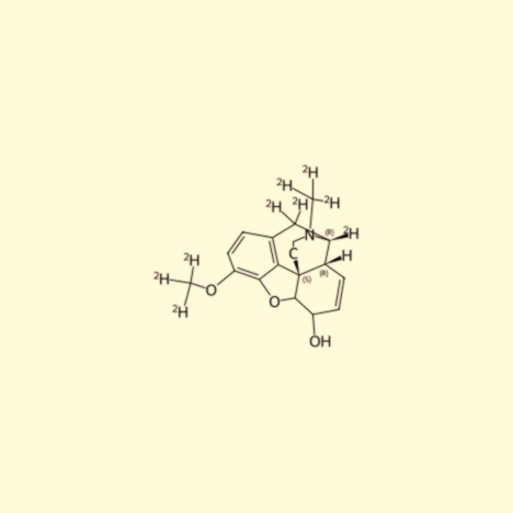 [2H]C([2H])([2H])Oc1ccc2c3c1OC1C(O)C=C[C@@H]4[C@@]31CCN(C([2H])([2H])[2H])[C@]4([2H])C2([2H])[2H]